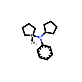 C[Si]1(N(c2ccccc2)C2CCCC2)CCCC1